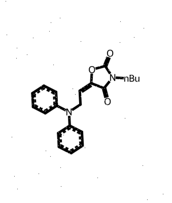 CCCCN1C(=O)O/C(=C/CN(c2ccccc2)c2ccccc2)C1=O